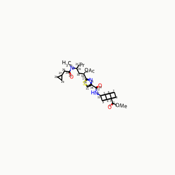 COC(=O)C12C3C4C1C1C2C3C41NC(=O)c1csc([C@@H](CC(C(C)C)N(C)C(=O)CC2CC2)OC(C)=O)n1